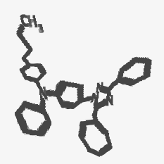 CCCCc1ccc(N(c2ccccc2)c2ccc(-n3nc(-c4ccccc4)nc3C3=CC=CCC=C3)cc2)cc1